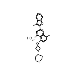 Cc1c(-c2cc(C(=O)O)c3c(O[C@H]4C[C@@H](C5CCOCC5)C4)ccc(C)c3n2)oc2ccccc12